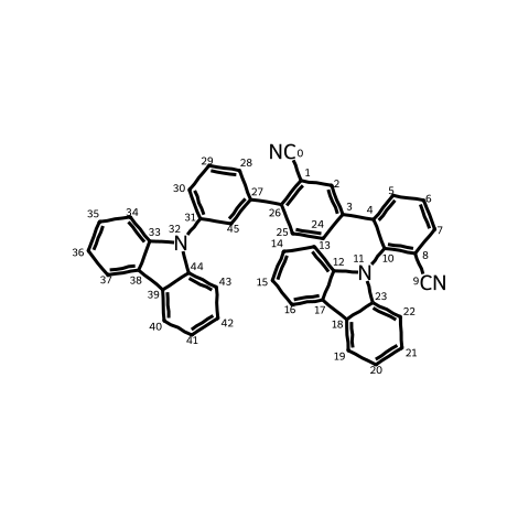 N#Cc1cc(-c2cccc(C#N)c2-n2c3ccccc3c3ccccc32)ccc1-c1cccc(-n2c3ccccc3c3ccccc32)c1